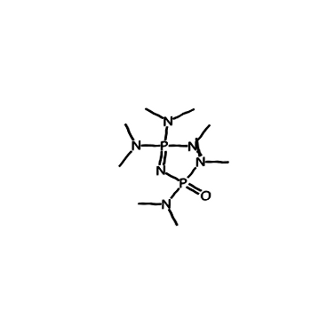 CN(C)P(=O)(N=P(N(C)C)(N(C)C)N(C)C)N(C)C